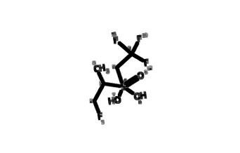 CC(CF)S(=O)(O)(O)CC(F)(F)F